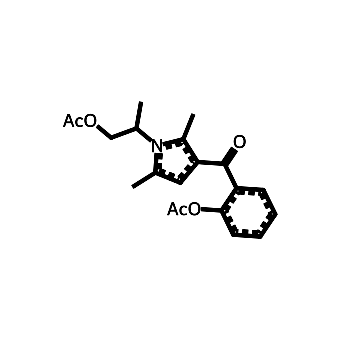 CC(=O)OCC(C)n1c(C)cc(C(=O)c2ccccc2OC(C)=O)c1C